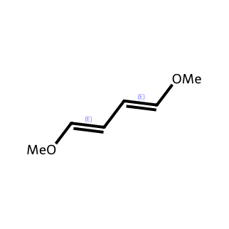 CO/C=C/C=C/OC